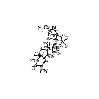 C[C@@H]1C(=O)C(C#N)=C[C@]2(C)C3=CC(=O)[C@@H]4[C@@H]5CC(C)(C)CC[C@]5(c5nc(C(F)(F)F)no5)CC[C@@]4(C)[C@]3(C)CC[C@@H]12